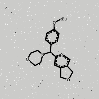 CC(C)(C)Oc1ccc(C(c2cc3c(cn2)COC3)N2CCOCC2)cc1